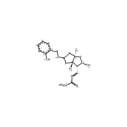 CCCCCC(=O)C=C[C@@H]1[C@@H]2CC(OCc3ccccc3C#N)C[C@H]2C[C@H]1O